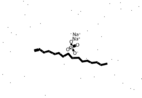 C=CCCCCCCCCCCCCCC.O=S(=O)([O-])[O-].[Na+].[Na+]